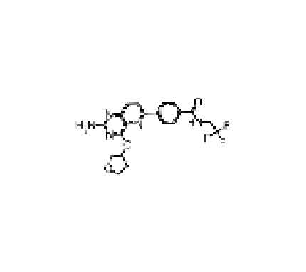 Nc1nc(OC2CCOC2)c2nc(-c3ccc(C(=O)NCC(F)(F)F)cc3)ccc2n1